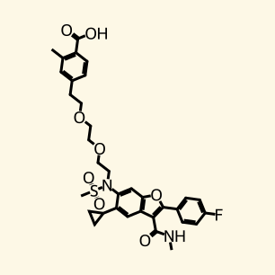 CNC(=O)c1c(-c2ccc(F)cc2)oc2cc(N(CCOCCOCCc3ccc(C(=O)O)c(C)c3)S(C)(=O)=O)c(C3CC3)cc12